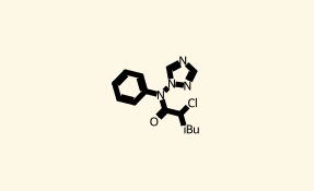 CCC(C)C(Cl)C(=O)N(c1ccccc1)n1cncn1